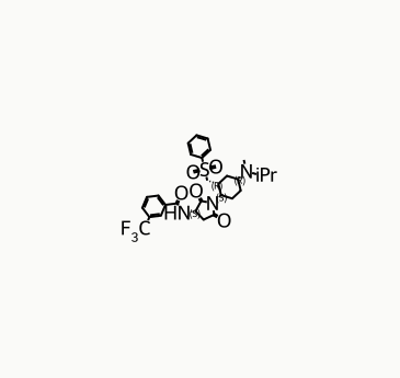 CC(C)N(C)[C@@H]1CC[C@H](N2C(=O)C[C@H](NC(=O)c3cccc(C(F)(F)F)c3)C2=O)[C@H](CS(=O)(=O)c2ccccc2)C1